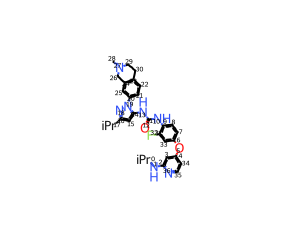 CC(C)Nc1cc(Oc2ccc(NC(=O)Nc3cc(C(C)C)nn3-c3ccc4c(c3)CN(C)CC4)c(F)c2)ccn1